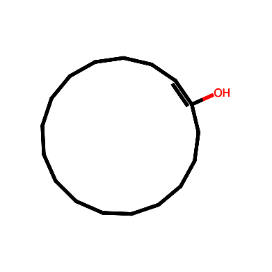 O/C1=C/CCCCCCCCCCCCCCC1